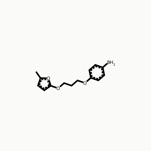 Bc1ccc(OCCCOc2ccc(C)o2)cc1